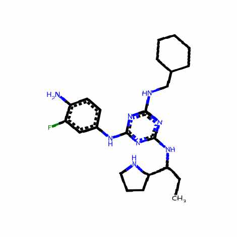 CCC(Nc1nc(NCC2CCCCC2)nc(Nc2ccc(N)c(F)c2)n1)C1CCCN1